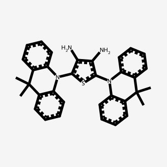 CC1(C)c2ccccc2N(c2sc(N3c4ccccc4C(C)(C)c4ccccc43)c(N)c2N)c2ccccc21